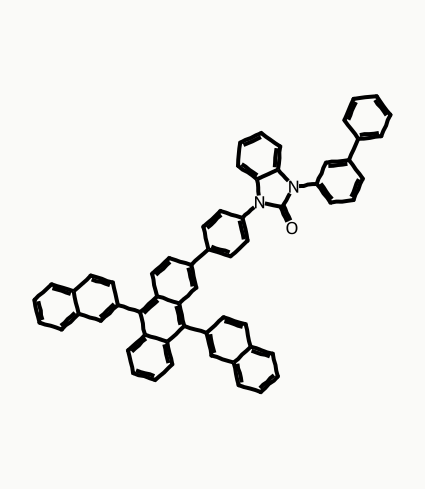 O=c1n(-c2ccc(-c3ccc4c(-c5ccc6ccccc6c5)c5ccccc5c(-c5ccc6ccccc6c5)c4c3)cc2)c2ccccc2n1-c1cccc(-c2ccccc2)c1